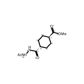 COC(=O)[C@H]1CC[C@H](C(=O)NNC(C)=O)CC1